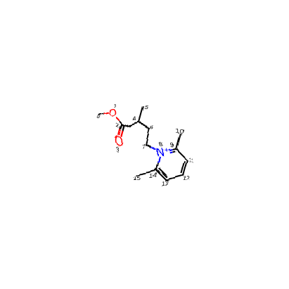 COC(=O)C(C)CC[n+]1c(C)cccc1C